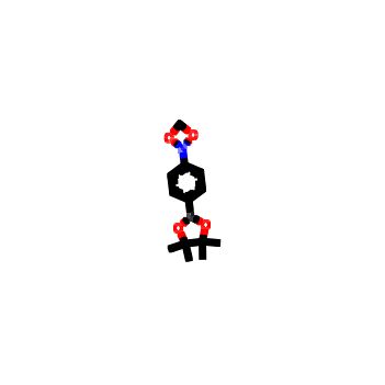 CC1(C)OB(c2ccc(N3OCO3)cc2)OC1(C)C